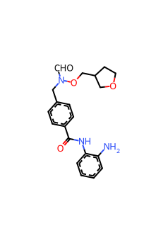 Nc1ccccc1NC(=O)c1ccc(CN(C=O)OCC2CCOC2)cc1